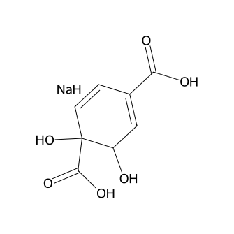 O=C(O)C1=CC(O)C(O)(C(=O)O)C=C1.[NaH]